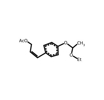 CCOC(C)Oc1ccc(/C=C\COC(C)=O)cc1